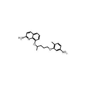 Cc1ccc([N+](=O)[O-])cc1OCCCC(C)Oc1cccc2ccc(N)nc12